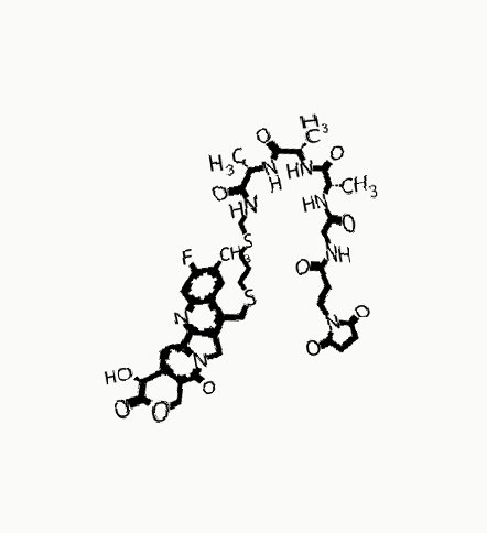 Cc1cc2c(CSCCCSCNC(=O)[C@H](C)NC(=O)[C@H](C)NC(=O)[C@H](C)NC(=O)CNC(=O)CCN3C(=O)C=CC3=O)c3c(nc2cc1F)-c1cc2c(c(=O)n1C3)COC(=O)[C@H]2O